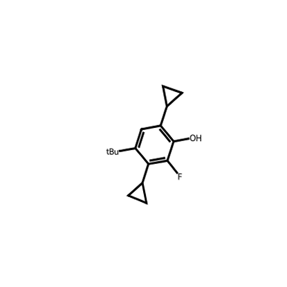 CC(C)(C)c1cc(C2CC2)c(O)c(F)c1C1CC1